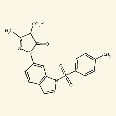 CC1=NN(c2ccc3ccn(S(=O)(=O)c4ccc(C)cc4)c3c2)C(=O)C1C(=O)O